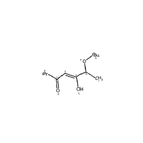 CC(C)C(=O)/C=C(\O)C(C)OC(C)(C)C